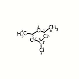 CCOCC.[Cl][Cr]([Cl])[Cl]